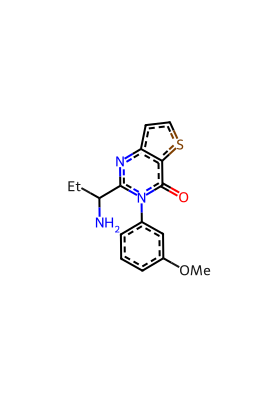 CCC(N)c1nc2ccsc2c(=O)n1-c1cccc(OC)c1